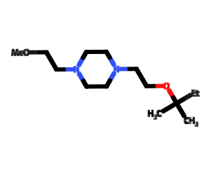 CCC(C)(C)OCCN1CCN(CCOC)CC1